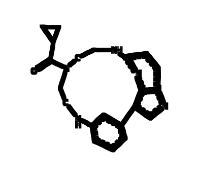 O=C(C1CC1)N1CCNc2cccc(c2)-c2cnn3ccc(nc23)NCC1